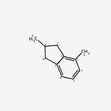 [CH2]c1cccc2c1CC(C)C2